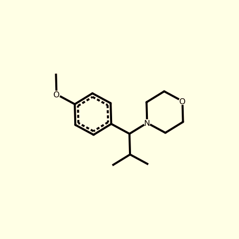 COc1ccc(C(C(C)C)N2CCOCC2)cc1